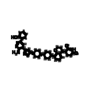 Nc1nnc(-c2ccccc2O)cc1-n1cc(N2CCN(C3CCC(c4cccc5c4OCCN5[C@H]4CCC(=O)NC4=O)CC3)CC2)cn1